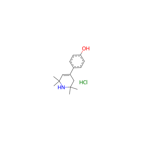 CC1(C)C=C(c2ccc(O)cc2)CC(C)(C)N1.Cl